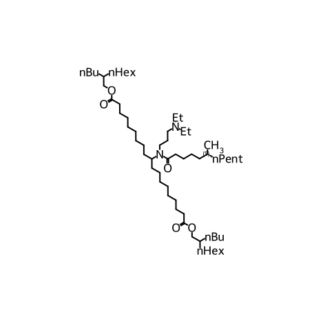 CCCCCCC(CCCC)COC(=O)CCCCCCCCC(CCCCCCCCC(=O)OCC(CCCC)CCCCCC)N(CCCN(CC)CC)C(=O)CCCC[C@@H](C)CCCCC